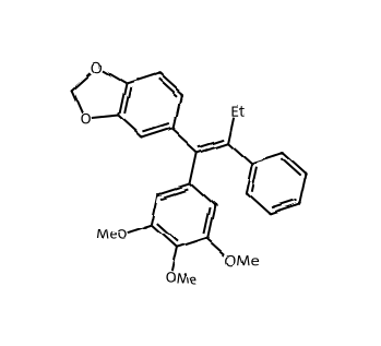 CC/C(=C(\c1ccc2c(c1)OCO2)c1cc(OC)c(OC)c(OC)c1)c1ccccc1